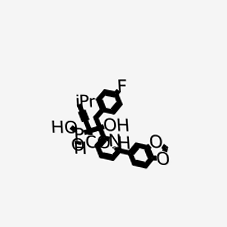 CC(C)C#CC(C(=O)O)([PH](=O)O)C(O)(Cc1ccc(F)cc1)c1cccc(-c2ccc3c(c2)OCO3)n1